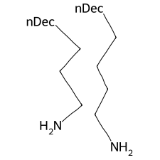 CCCCCCCCCCCCCCN.CCCCCCCCCCCCCN